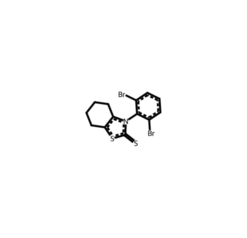 S=c1sc2c(n1-c1c(Br)cccc1Br)CCCC2